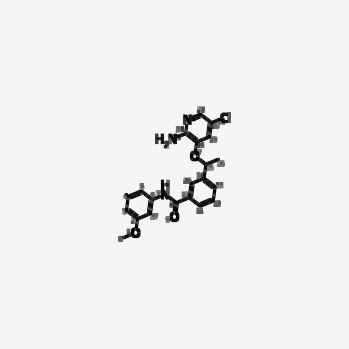 COc1cccc(NC(=O)c2cccc(C(C)Oc3cc(Cl)cnc3N)c2)c1